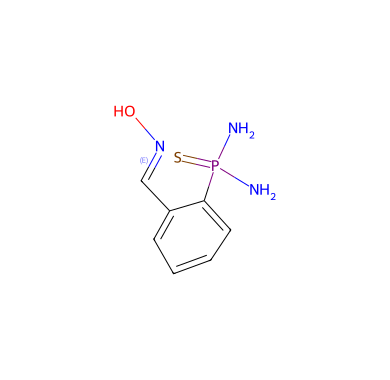 NP(N)(=S)c1ccccc1/C=N/O